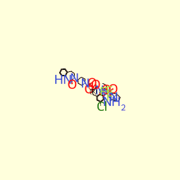 CCOC(=O)CN1C2CCC1CC(N1CCN(C(=O)[C@@H](Cc3cc(Cl)c(N)c(C(F)(F)F)c3)OC(=O)N3CCC(N4CCc5ccccc5NC4=O)CC3)CC1)C2